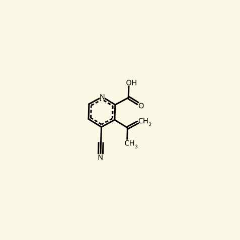 C=C(C)c1c(C#N)ccnc1C(=O)O